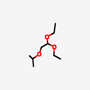 CCOC(COC(C)C)OCC